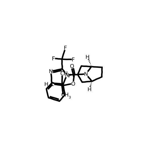 CC(C)(C)OC(=O)N1[C@@H]2CC[C@H]1C[C@@H](n1c(C(F)(F)F)nc3ccccc31)C2